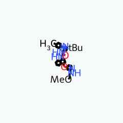 COCCNc1cc(Oc2ccc(NC(=O)Nc3cc(C(C)(C)C)nn3-c3ccc(C)cc3)c3ccccc23)ccn1